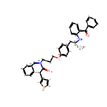 O=C(c1ccccc1)c1ccccc1N[C@@H](Cc1ccc(OCCCN(Cc2ccccc2)C(=O)Cc2ccsc2)cc1)C(=O)O